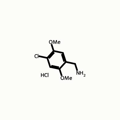 COc1cc(CN)c(OC)cc1Cl.Cl